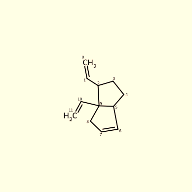 C=CC1CCC2C=CCC12C=C